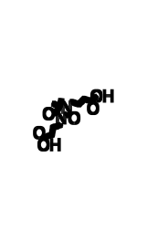 CC1(C)C(=O)N(CCCC(=O)O)C(=O)N1CCCC(=O)O